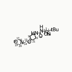 CC(C)(C)c1cc(NC(=O)Nc2ccc(OCCN3CCOCC3)cc2)on1